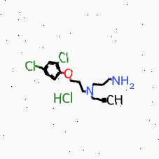 C#CCN(CCCN)CCCOc1ccc(Cl)cc1Cl.Cl